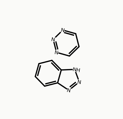 c1ccc2[nH]nnc2c1.c1cnnnc1